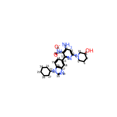 Nc1cc(N2CCCC(O)C2)nc(-c2ccc3c(c2)ncn3C2CCCCC2)c1[N+](=O)[O-]